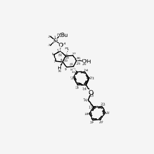 CC(C)(C)[Si](C)(C)O[C@H]1CC[C@H]2C[C@@H](c3ccc(OCc4ccccc4)cc3)[C@H](O)C[C@@]21C